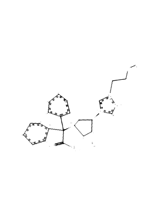 COCC[n+]1cn([C@H]2CC[C@@H](C(C(N)=O)(c3ccccc3)c3ccccc3)C2)cn1.[Br-]